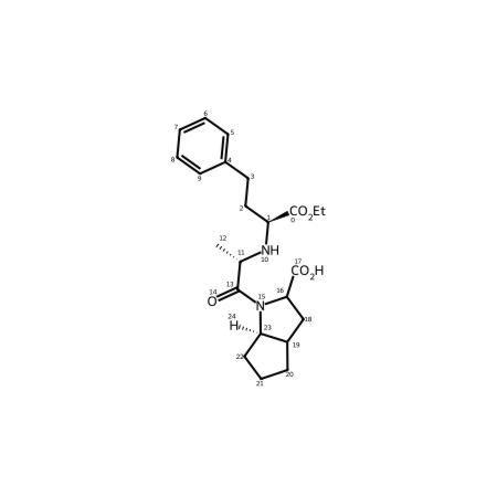 CCOC(=O)[C@H](CCc1ccccc1)N[C@@H](C)C(=O)N1C(C(=O)O)CC2CCC[C@H]21